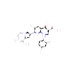 CC1NCCn2cc(-c3nc4c(cc3F)c(=O)c(C(=O)O)cn4-c3ccc(F)cc3F)cc21